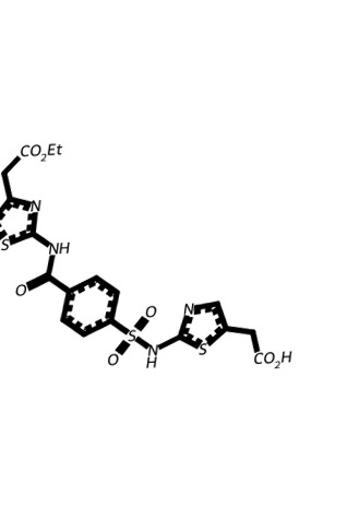 CCOC(=O)Cc1csc(NC(=O)c2ccc(S(=O)(=O)Nc3ncc(CC(=O)O)s3)cc2)n1